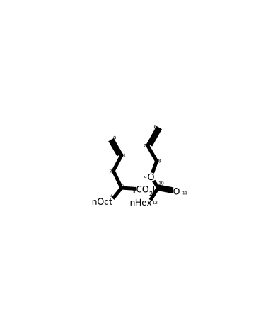 C=CCC(CCCCCCCC)C(=O)O.C=CCOC(=O)CCCCCC